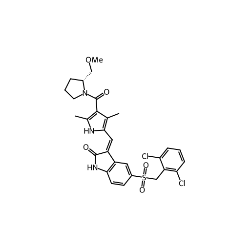 COC[C@H]1CCCN1C(=O)c1c(C)[nH]c(/C=C2\C(=O)Nc3ccc(S(=O)(=O)Cc4c(Cl)cccc4Cl)cc32)c1C